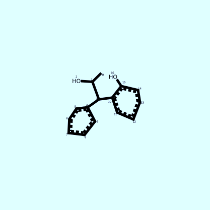 CC(O)C(c1ccccc1)c1ccccc1O